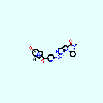 CN(C)C(=O)c1cc2cnc(Nc3ccc(C(=O)C45CC6C[C@@H](O)C[C@H](C4)N65)cn3)nc2n1C1CCCC1